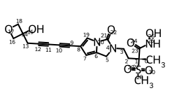 C[C@@](CCN1Cc2cc(C#CC#CCC3(O)COC3)cn2C1=O)(C(=O)NO)S(C)(=O)=O